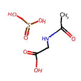 CC(=O)NCC(=O)O.O=S(O)O